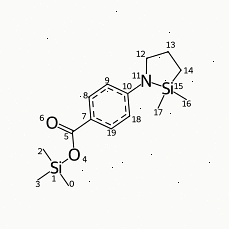 C[Si](C)(C)OC(=O)c1ccc(N2CCC[Si]2(C)C)cc1